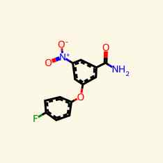 NC(=O)c1cc(Oc2ccc(F)cc2)cc([N+](=O)[O-])c1